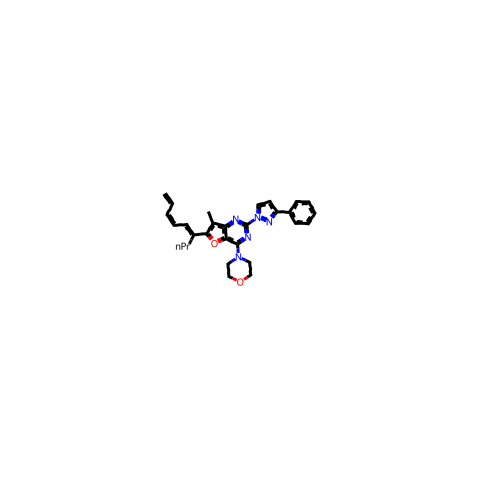 C=C/C=C\C=C(/CCC)c1oc2c(N3CCOCC3)nc(-n3ccc(-c4ccccc4)n3)nc2c1C